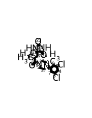 Cc1c(Cl)cc(Cl)cc1N1CCN(C(=O)C(C)CC2(C)NC(=O)NC2=O)CC1